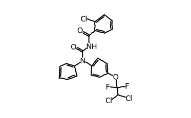 O=C(NC(=O)N(c1ccccc1)c1ccc(OC(F)(F)C(Cl)Cl)cc1)c1ccccc1Cl